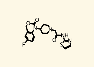 O=C(CN1CCC(N2C(=O)OCc3cc(F)ccc32)CC1)Nc1nccs1